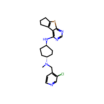 CN(Cc1ccncc1Cl)[C@H]1CC[C@H](Nc2ncnc3sc4c(c23)CCC4)CC1